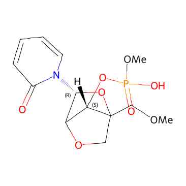 COCC12COC([C@H](n3ccccc3=O)O1)[C@@H]2OP(=O)(O)OC